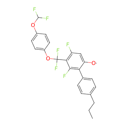 CCCc1ccc(-c2c([O])cc(F)c(C(F)(F)Oc3ccc(OC(F)F)cc3)c2F)cc1